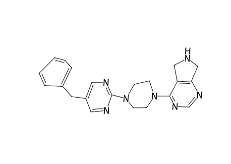 c1ccc(Cc2cnc(N3CCN(c4ncnc5c4CNC5)CC3)nc2)cc1